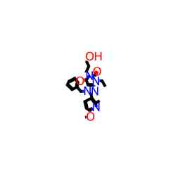 CCn1c(=O)n(CCCO)c(=O)c2c1nc(-c1ccc(OC)nc1C)n2Cc1ccccc1